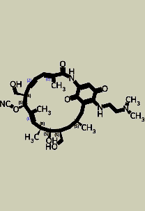 C/C1=C\C=C/[C@H](CO)[C@H](OC#N)/C(C)=C/[C@@H](C)[C@H](O)[C@H](CO)C[C@H](C)CC2=C(NCCN(C)C)C(=O)C=C(NC1=O)C2=O